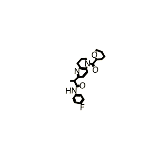 CC(C(=O)Nc1ccc(F)cc1)c1ccc2c(n1)CCCN2C(=O)C1CCCCO1